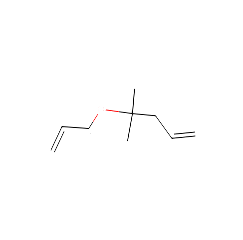 C=CCOC(C)(C)CC=C